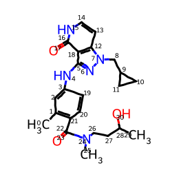 Cc1cc(Nc2nn(CC3CC3)c3cc[nH]c(=O)c23)ccc1C(=O)N(C)CCC(C)O